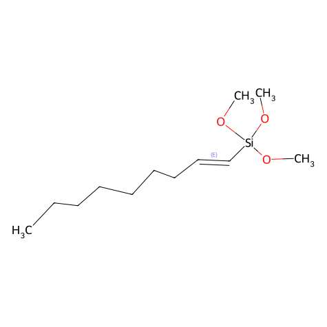 CCCCCCC/C=C/[Si](OC)(OC)OC